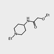 CCOCC(=O)NC1CCN(CC)CC1